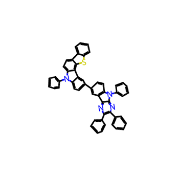 c1ccc(-c2nc3c4cc(-c5ccc6c(c5)c5c7sc8ccccc8c7ccc5n6-c5ccccc5)ccc4n(-c4ccccc4)c3nc2-c2ccccc2)cc1